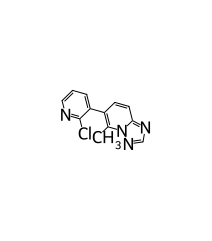 Cc1c(-c2cccnc2Cl)ccc2ncnn12